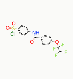 O=C(Nc1ccc(S(=O)(=O)Cl)cc1)c1ccc(OC(F)(F)C(F)F)cc1